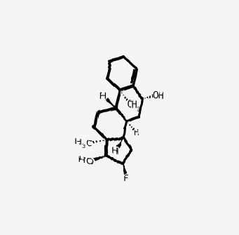 C[C@]12CC[C@H]3[C@@H](C[C@@H](O)C4=CCCC[C@@]43C)[C@@H]1C[C@@H](F)[C@H]2O